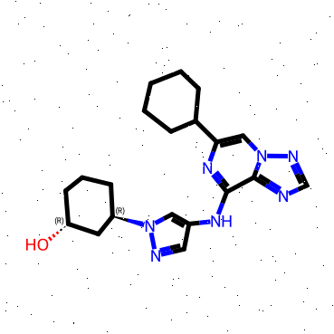 O[C@@H]1CCC[C@@H](n2cc(Nc3nc(C4CCCCC4)cn4ncnc34)cn2)C1